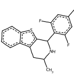 CC1Cc2c(sc3ccccc23)C(c2c(F)cc(I)cc2F)N1